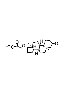 CCOC(=O)CO[C@H]1CC[C@H]2[C@@H]3CC[C@H]4CC(=O)CC[C@]4(C)[C@H]3CC[C@]12C